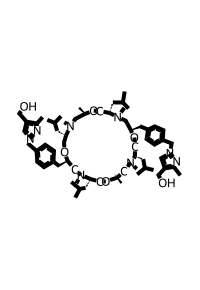 Cc1nn(Cc2ccc(C[C@@H]3CN(C)[C@@H](CC(C)C)CO[C@H](C)CN(C)[C@@H](CC(C)C)CO[C@H](Cc4ccc(Cn5cc(CO)c(C)n5)cc4)CN(C)[C@@H](CC(C)C)CO[C@H](C)CN(C)[C@@H](CC(C)C)CO3)cc2)cc1CO